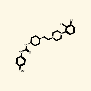 CSc1ccc(NC(=O)N[C@H]2CC[C@H](CCN3CCN(c4cccc(Cl)c4Cl)CC3)CC2)cc1